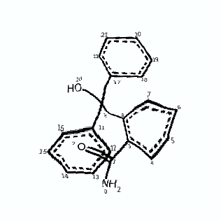 NC(=O)c1ccccc1C(O)(c1ccccc1)c1ccccc1